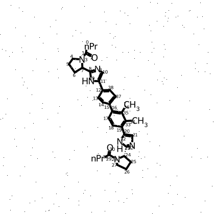 C[CH]CC(=O)N1CCCC1c1ncc(-c2ccc(-c3ccc(-c4cnc([C@@H]5CCCN5C(=O)C[CH]C)[nH]4)c(C)c3C)cc2)[nH]1